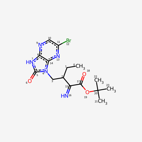 CCC(Cn1c(=O)[nH]c2ncc(Br)nc21)C(=N)C(=O)OC(C)(C)C